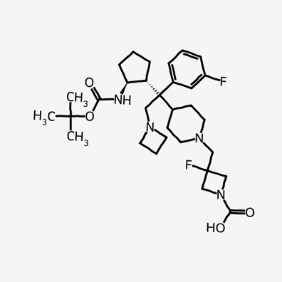 CC(C)(C)OC(=O)N[C@H]1CCC[C@@H]1C(CN1CCC1)(c1cccc(F)c1)C1CCN(CC2(F)CN(C(=O)O)C2)CC1